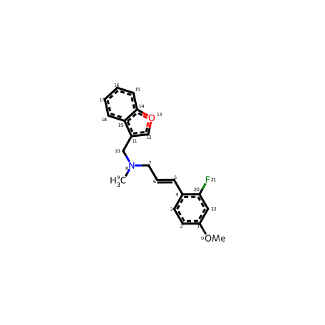 COc1ccc(/C=C/CN(C)Cc2coc3ccccc23)c(F)c1